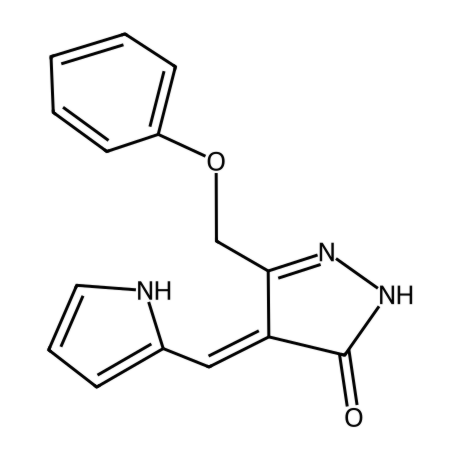 O=C1NN=C(COc2ccccc2)C1=Cc1ccc[nH]1